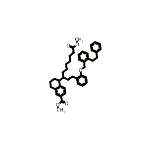 COC(=O)CCCCCCC(CCc1ccccc1OCc1ccccc1CCc1ccccc1)C1CCCc2cc(C(=O)OC)ccc21